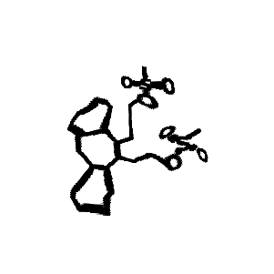 CS(=O)(=O)OCCC1=C(CCOS(C)(=O)=O)c2ccccc2Cc2ccccc21